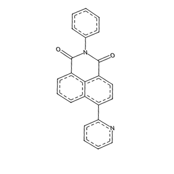 O=C1c2cccc3c(-c4ccccn4)ccc(c23)C(=O)N1c1ccccc1